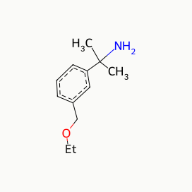 CCOCc1cccc(C(C)(C)N)c1